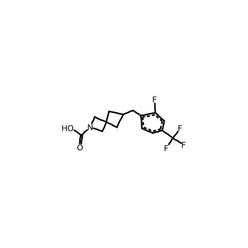 O=C(O)N1CC2(CC(Cc3ccc(C(F)(F)F)cc3F)C2)C1